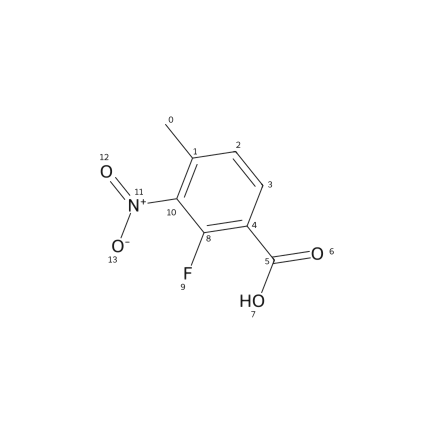 Cc1ccc(C(=O)O)c(F)c1[N+](=O)[O-]